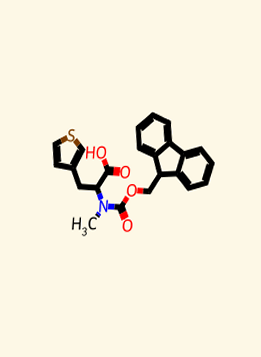 CN(C(=O)OCC1c2ccccc2-c2ccccc21)C(Cc1ccsc1)C(=O)O